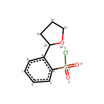 O=S(=O)(Cl)c1ccccc1C1CCCO1